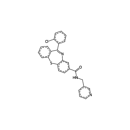 O=C(NCc1cccnc1)c1ccc2c(c1)N=C(c1ccccc1Cl)c1ccccc1S2